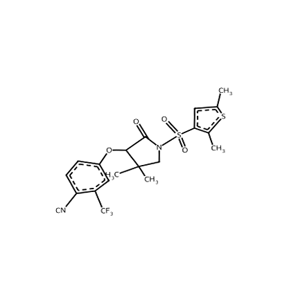 [C-]#[N+]c1ccc(OC2C(=O)N(S(=O)(=O)c3cc(C)sc3C)CC2(C)C)cc1C(F)(F)F